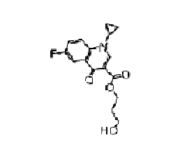 O=C(OCCCO)c1cn(C2CC2)c2ccc(F)cc2c1=O